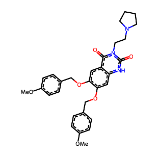 COc1ccc(COc2cc3[nH]c(=O)n(CCN4CCCC4)c(=O)c3cc2OCc2ccc(OC)cc2)cc1